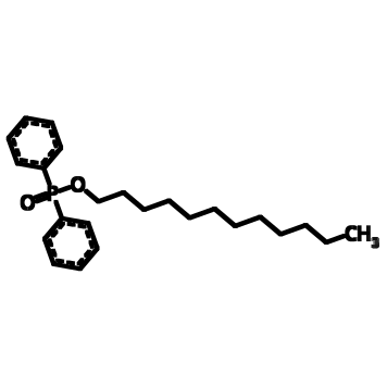 CCCCCCCCCCCCOP(=O)(c1ccccc1)c1ccccc1